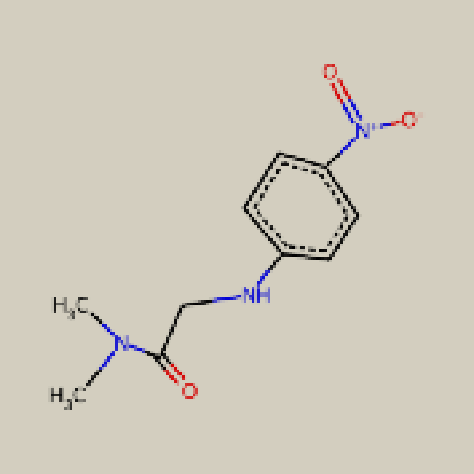 CN(C)C(=O)CNc1ccc([N+](=O)[O-])cc1